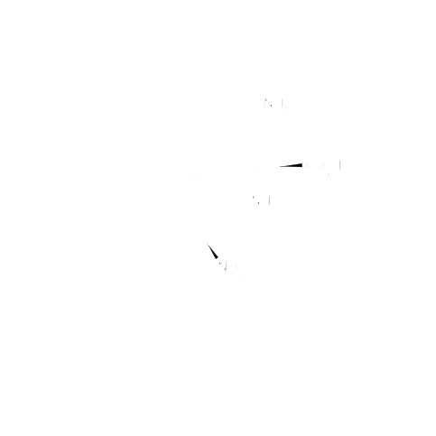 NC[C@H](NC(=O)[C@@H](N)Cc1ccccc1)C(=O)O